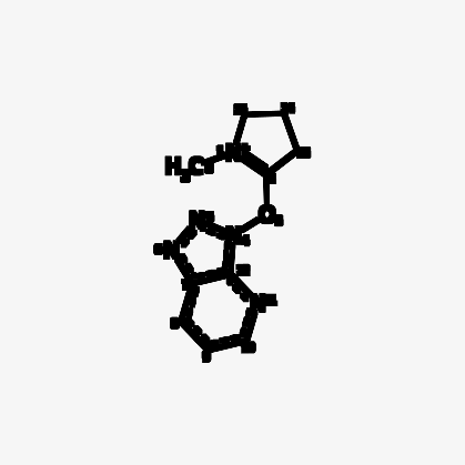 C[N+]1=C(On2nnc3cccnc32)CCC1